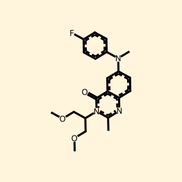 COCC(COC)n1c(C)nc2ccc(N(C)c3ccc(F)cc3)cc2c1=O